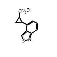 CCOC(=O)C1CC1c1cccc2nscc12